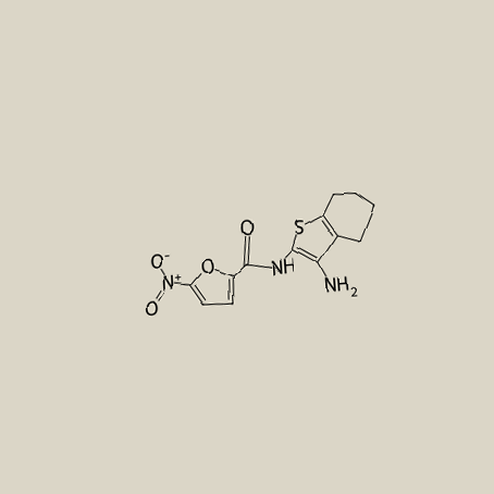 Nc1c(NC(=O)c2ccc([N+](=O)[O-])o2)sc2c1CCCC2